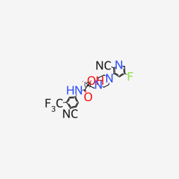 C[C@](O)(CN1CCN(c2cc(F)cnc2C#N)CC1)C(=O)Nc1ccc(C#N)c(C(F)(F)F)c1